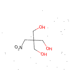 O=[N+]([O-])CC(CO)(CO)CO